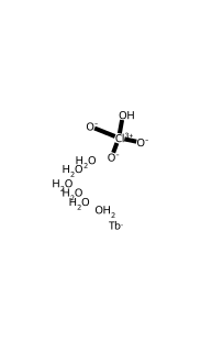 O.O.O.O.O.O.[O-][Cl+3]([O-])([O-])O.[Tb]